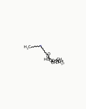 CCCCCCCC/C=C\CCCCCCCC(=O)OCC(O)COP(O)OCC[N+](C)(C)C